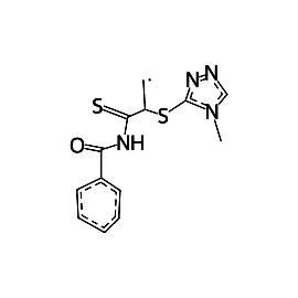 [CH2]C(Sc1nncn1C)C(=S)NC(=O)c1ccccc1